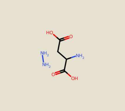 NC(CC(=O)O)C(=O)O.NN